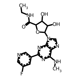 CCNC(=O)C1OC(n2cnc3c(NC)nc(-c4cncc(F)c4)nc32)C(O)C1O